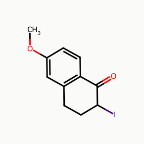 COc1ccc2c(c1)CCC(I)C2=O